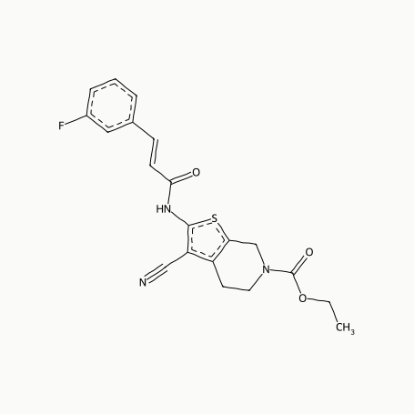 CCOC(=O)N1CCc2c(sc(NC(=O)C=Cc3cccc(F)c3)c2C#N)C1